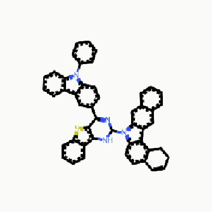 C1=Cc2ccc3c(c2CC1)c1cc2ccccc2cc1n3C1N=C(c2ccc3c(c2)c2ccccc2n3-c2ccccc2)c2sc3ccccc3c2N1